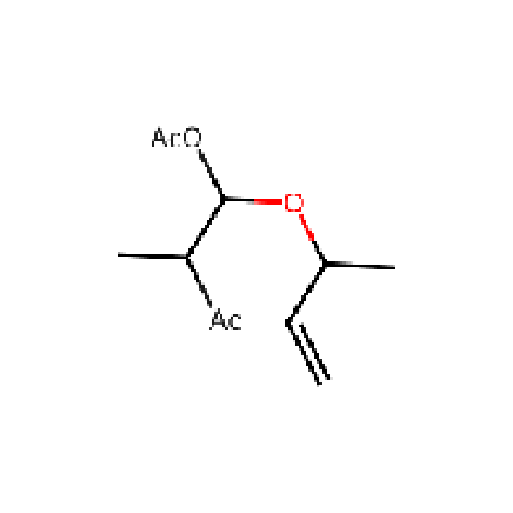 C=CC(C)OC(OC(C)=O)C(C)C(C)=O